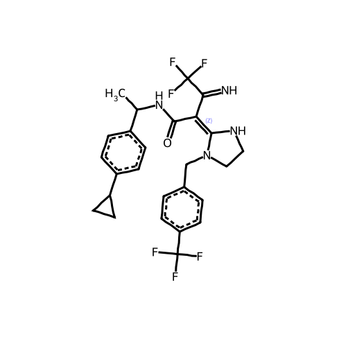 CC(NC(=O)/C(C(=N)C(F)(F)F)=C1/NCCN1Cc1ccc(C(F)(F)F)cc1)c1ccc(C2CC2)cc1